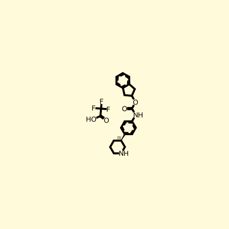 O=C(Nc1ccc([C@@H]2CCCNC2)cc1)OC1Cc2ccccc2C1.O=C(O)C(F)(F)F